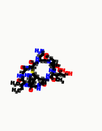 CC[C@H](C)[C@@H]1NC(=O)CNC(=O)[C@@H]2Cc3c([nH]c4ccccc34)S[C@H](NC(=O)CNC1=O)C(=O)N[C@@H](CC(N)=O)C(=O)N1CC[C@H]1C(=O)N[C@@H]([C@@H](C)[C@@H](O)CO)C(=O)N2